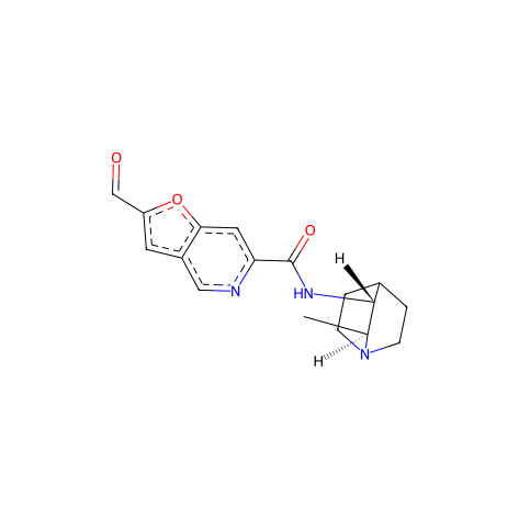 C[C@H]1[C@H](NC(=O)c2cc3oc(C=O)cc3cn2)C2CCN1CC2